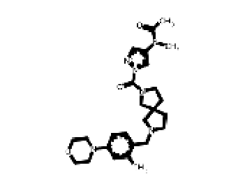 CC(=O)N(C)c1cnn(C(=O)N2CCC3(CCN(Cc4ccc(N5CCOCC5)cc4C)C3)C2)c1